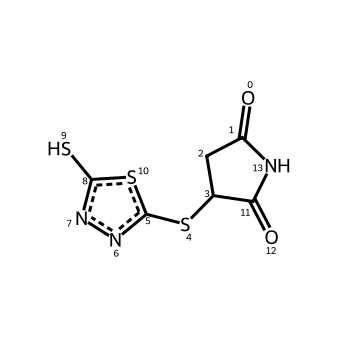 O=C1CC(Sc2nnc(S)s2)C(=O)N1